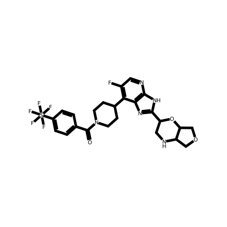 O=C(c1ccc(S(F)(F)(F)(F)F)cc1)N1CCC(c2c(F)cnc3[nH]c(C4CNC5COCC5O4)nc23)CC1